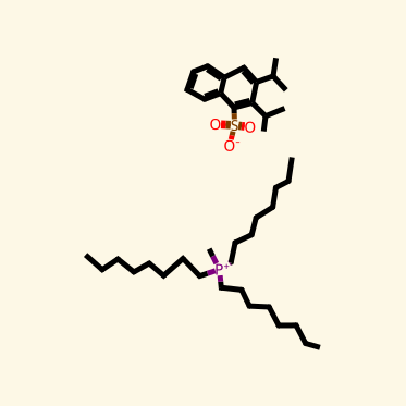 CC(C)c1cc2ccccc2c(S(=O)(=O)[O-])c1C(C)C.CCCCCCCC[P+](C)(CCCCCCCC)CCCCCCCC